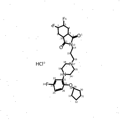 Cl.O=C1C2CC(F)C(F)CC2C(=O)N1CCCN1CCN(c2cc(F)ccc2OC2CCCC2)CC1